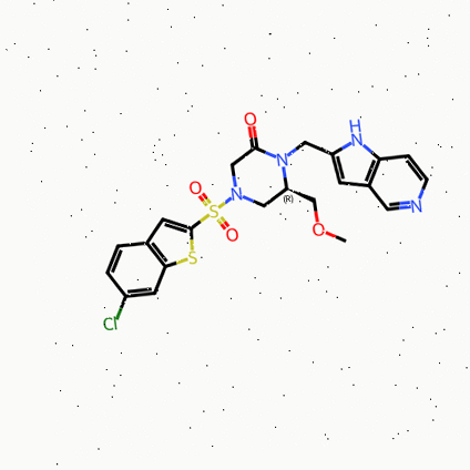 COC[C@H]1CN(S(=O)(=O)c2cc3ccc(Cl)cc3s2)CC(=O)N1Cc1cc2cnccc2[nH]1